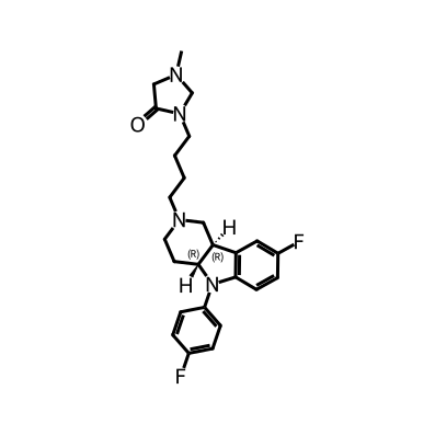 CN1CC(=O)N(CCCCN2CC[C@@H]3[C@@H](C2)c2cc(F)ccc2N3c2ccc(F)cc2)C1